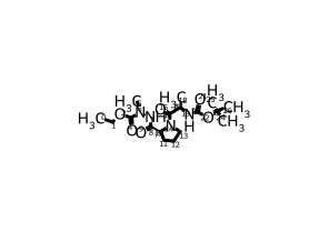 CCOC(=O)N(C)NC(=O)[C@@H]1CCCN1C(=O)[C@H](C)NC(=O)OC(C)(C)C